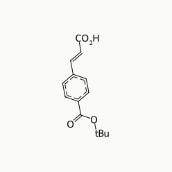 CC(C)(C)OC(=O)c1ccc(C=CC(=O)O)cc1